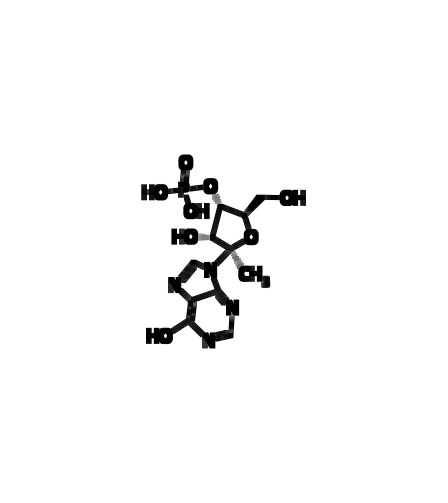 C[C@@]1(n2cnc3c(O)ncnc32)O[C@H](CO)[C@@H](OP(=O)(O)O)[C@H]1O